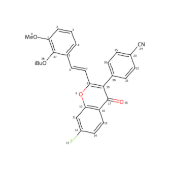 COc1cccc(/C=C/c2oc3cc(F)ccc3c(=O)c2-c2ccc(C#N)cc2)c1OCC(C)C